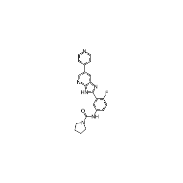 O=C(Nc1ccc(F)c(-c2nc3cc(-c4ccncc4)cnc3[nH]2)c1)N1CCCC1